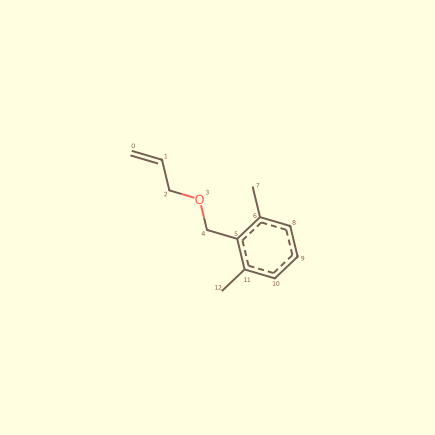 C=CCOCc1c(C)cccc1C